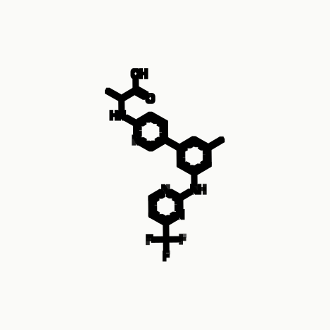 Cc1cc(Nc2nccc(C(F)(F)F)n2)cc(-c2ccc(NC(C)C(=O)O)nc2)c1